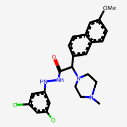 COc1ccc2cc(C(C(=O)NNc3cc(Cl)cc(Cl)c3)N3CCN(C)CC3)ccc2c1